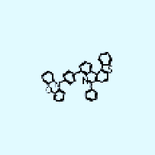 c1ccc(-c2nc3c(-c4ccc(N5c6ccccc6Oc6ccccc65)cc4)cccc3c3c2ccc2sc4ccccc4c23)cc1